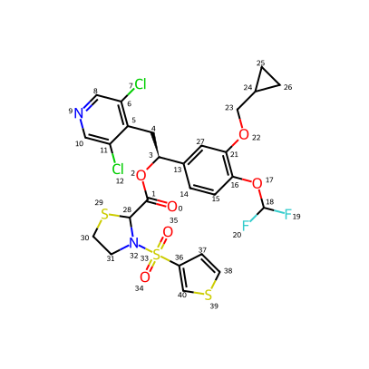 O=C(O[C@@H](Cc1c(Cl)cncc1Cl)c1ccc(OC(F)F)c(OCC2CC2)c1)C1SCCN1S(=O)(=O)c1ccsc1